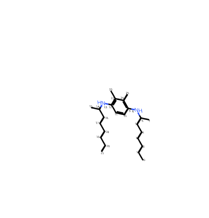 CCCCCCC(C)Nc1ccc(NC(C)CCCCCC)c(C)c1C